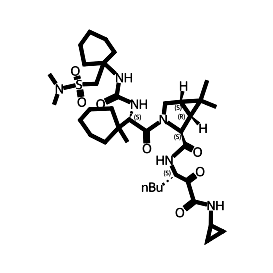 CCCC[C@H](NC(=O)[C@@H]1[C@@H]2[C@H](CN1C(=O)[C@@H](NC(=O)NC1(CS(=O)(=O)N(C)C)CCCCC1)C1(C)CCCCC1)C2(C)C)C(=O)C(=O)NC1CC1